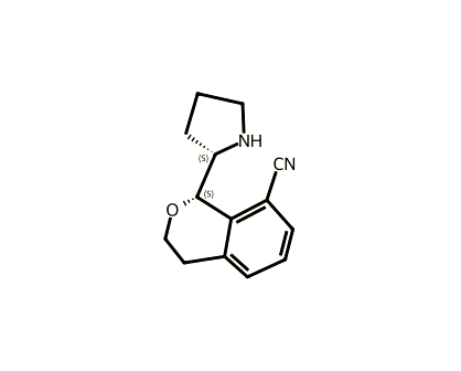 N#Cc1cccc2c1[C@@H]([C@@H]1CCCN1)OCC2